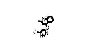 Cc1cc(Oc2cc(Cl)ncn2)c2ccccc2n1